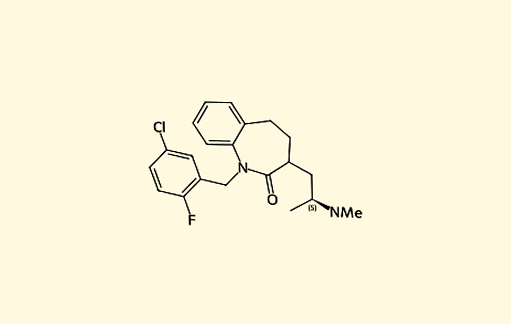 CN[C@@H](C)CC1CCc2ccccc2N(Cc2cc(Cl)ccc2F)C1=O